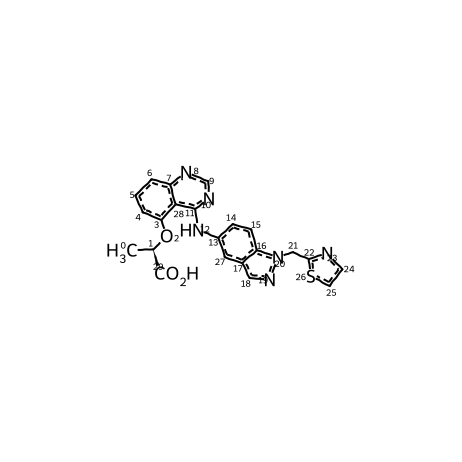 C[C@@H](Oc1cccc2ncnc(Nc3ccc4c(cnn4Cc4nccs4)c3)c12)C(=O)O